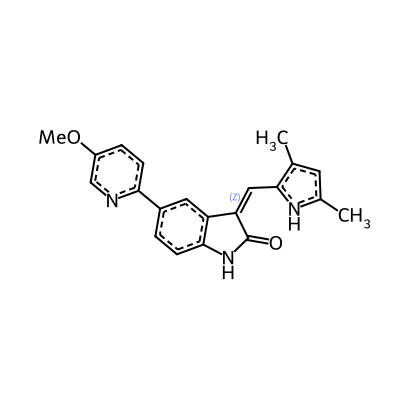 COc1ccc(-c2ccc3c(c2)/C(=C/c2[nH]c(C)cc2C)C(=O)N3)nc1